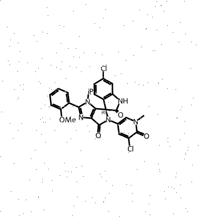 COc1ccccc1-c1nc2c(n1C(C)C)[C@]1(C(=O)Nc3cc(Cl)ccc31)N(c1cc(Cl)c(=O)n(C)c1)C2=O